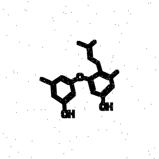 CC(C)=CCc1c(C)cc(O)cc1Oc1cc(C)cc(O)c1